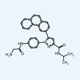 CC(C)NC(=O)c1cc(-c2ccc3ccc4ccccc4c3c2)n(-c2ccc(NC(=O)CN)cc2)n1